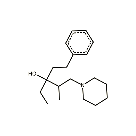 CCC(O)(CCc1ccccc1)C(C)CN1CCCCC1